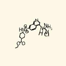 CCOC(=O)C1CCC(NS(=O)(=O)c2ccc3c(N/C(N)=N\Cl)cncc3c2)CC1